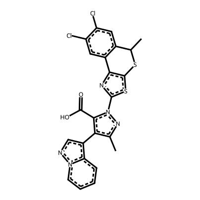 Cc1nn(-c2nc3c(s2)SC(C)c2cc(Cl)c(Cl)cc2-3)c(C(=O)O)c1-c1cnn2ccccc12